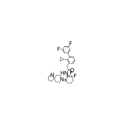 CN1CCCC12CCN([C@H]1CCCC(F)(F)[C@@H]1NC(=O)Cc1cccc(-c3cc(F)cc(F)c3)c1C1CC1)CC2